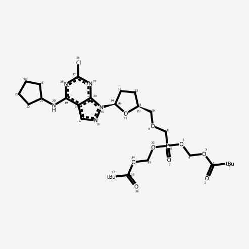 CC(C)(C)C(=O)OCOP(=O)(COC[C@@H]1CC[C@H](n2ncc3c(NC4CCCC4)nc(Cl)nc32)O1)OCOC(=O)C(C)(C)C